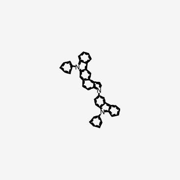 c1ccc(-n2c3ccccc3c3cc(-n4ccc5c6cc7c8ccccc8n(-c8ccccc8)c7cc6ccc54)ccc32)cc1